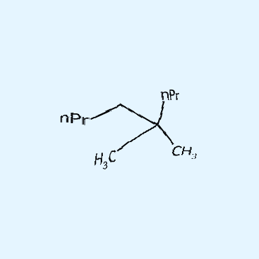 [CH2]CCCC(C)(C)CCC